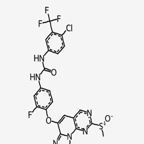 C[S+]([O-])c1ncc2c(n1)N1CCN=C1C(Oc1ccc(NC(=O)Nc3ccc(Cl)c(C(F)(F)F)c3)cc1F)=C2